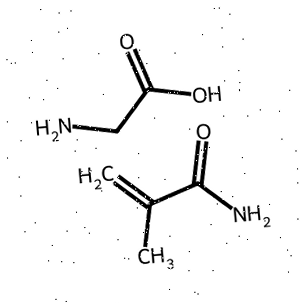 C=C(C)C(N)=O.NCC(=O)O